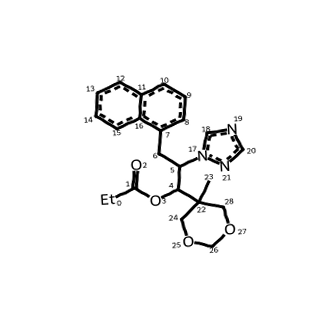 CCC(=O)OC(C(Cc1cccc2ccccc12)n1cncn1)C1(C)COCOC1